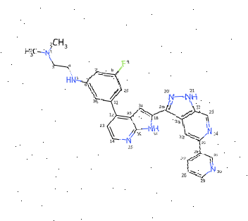 CN(C)CCNc1cc(F)cc(-c2ccnc3[nH]c(-c4n[nH]c5cnc(-c6cccnc6)cc45)cc23)c1